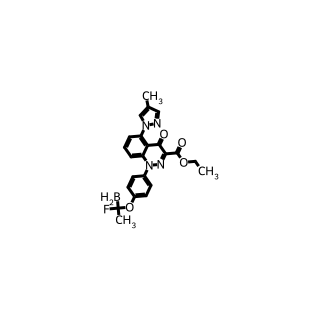 BC(C)(F)Oc1ccc(-n2nc(C(=O)OCC)c(=O)c3c(-n4cc(C)cn4)cccc32)cc1